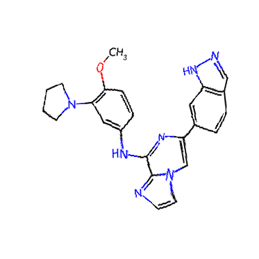 COc1ccc(Nc2nc(-c3ccc4cn[nH]c4c3)cn3ccnc23)cc1N1CCCC1